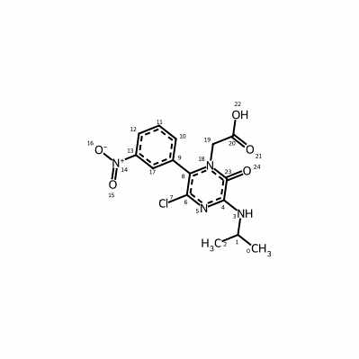 CC(C)Nc1nc(Cl)c(-c2cccc([N+](=O)[O-])c2)n(CC(=O)O)c1=O